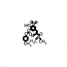 CCN(CC)C(=O)/C(C#N)=C/c1cc(OC(=O)OC2CCC(C)CC2)c(O)c([N+](=O)[O-])c1